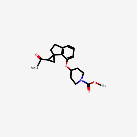 COC(=O)C1CC12CCc1cccc(OC3CCN(C(=O)OC(C)(C)C)CC3)c12